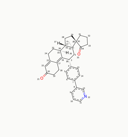 C[C@]12C[C@H](c3ccc(-c4cccnc4)cc3)C3=C4CCC(=O)C=C4CC[C@H]3[C@@H]1CC[C@]21CCCC1=O